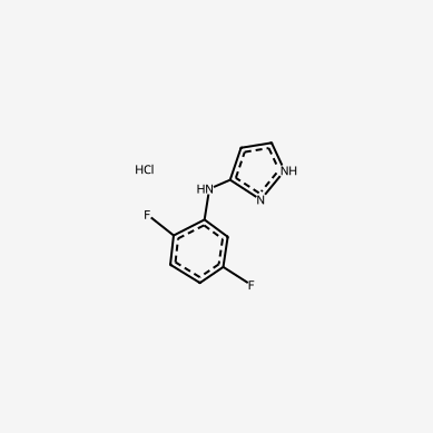 Cl.Fc1ccc(F)c(Nc2cc[nH]n2)c1